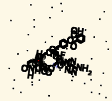 Nc1ncnc2c1ncn2[C@@H]1O/C2=C\OP(=O)(O)O[C@@H]3[C@H](F)[C@@H](COP(=O)(SCc4ccc(OC(=O)c5ccccc5OO)cc4)O[C@H]2[C@H]1F)O[C@H]3n1ccc(=O)[nH]c1=O